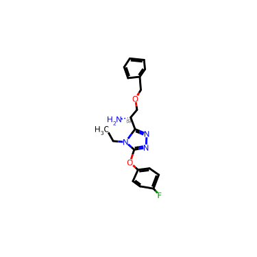 CCn1c(Oc2ccc(F)cc2)nnc1[C@H](N)COCc1ccccc1